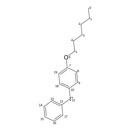 CCCCCCOc1ccc([I+]c2ccccc2)cc1